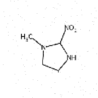 CN1C[CH]NC1[N+](=O)[O-]